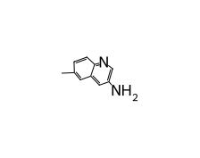 Cc1ccc2ncc(N)cc2c1